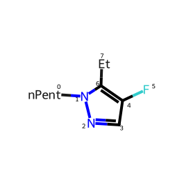 CCCCCn1ncc(F)c1CC